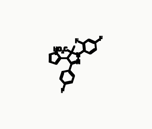 CC1(C(=O)O)C(c2cccs2)C(c2ccc(F)cc2)=NN1c1ccc(F)cc1F